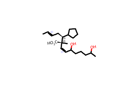 C/C=C/C[C@@H](C1CCCC1)[C@](C)(/C=C\C(O)CCCC(C)O)C(=O)O